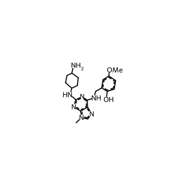 COc1ccc(O)c(CNc2nc(NC3CCC(N)CC3)nc3c2ncn3C)c1